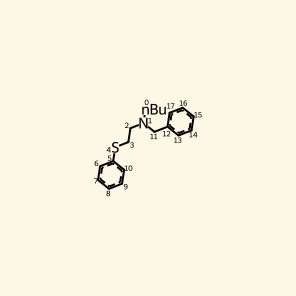 [CH2]CCCN(CCSc1ccccc1)Cc1ccccc1